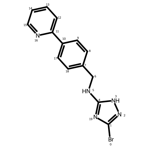 Brc1n[nH]c(NCc2ccc(-c3ccccn3)cc2)n1